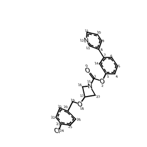 O=C(Oc1cccc(-c2cccnc2)c1)N1CC(OCc2ccc(Cl)cc2)C1